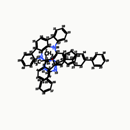 CC1(C)c2ccccc2-c2cc(C3=CC=C(c4ccccc4)CC3)cc(-n3c4ccccc4c4ccc5c6ccccc6n(-c6nc(C7=CCCC=C7)nc(-c7ccccc7)n6)c5c43)c21